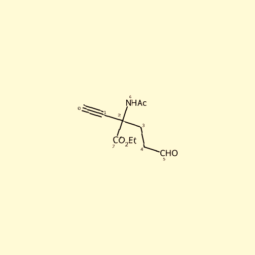 C#CC(CCC=O)(NC(C)=O)C(=O)OCC